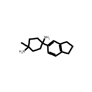 CC1(N)CCC(N)(c2ccc3c(c2)CCC3)CC1